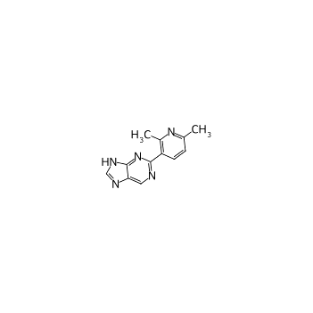 Cc1ccc(-c2ncc3nc[nH]c3n2)c(C)n1